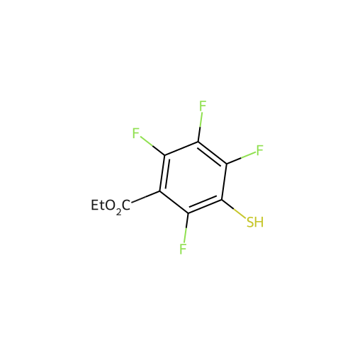 CCOC(=O)c1c(F)c(F)c(F)c(S)c1F